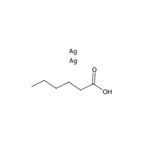 CCCCCC(=O)O.[Ag].[Ag]